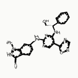 CC(C)n1[nH]c(=O)c2ccc(Nc3ncc(-c4ncno4)c(N[C@H](CO)c4ccccc4)n3)cc21